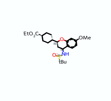 CCOC(=O)[C@H]1CC[C@H]([C@@H]2C[C@H](N[S@+]([O-])C(C)(C)C)c3ccc(OC)cc3O2)CC1